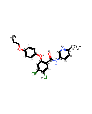 CC(C)CCOc1ccc(Oc2cc(Cl)c(Cl)cc2C(=O)Nc2ccc(C(=O)O)nc2)cc1